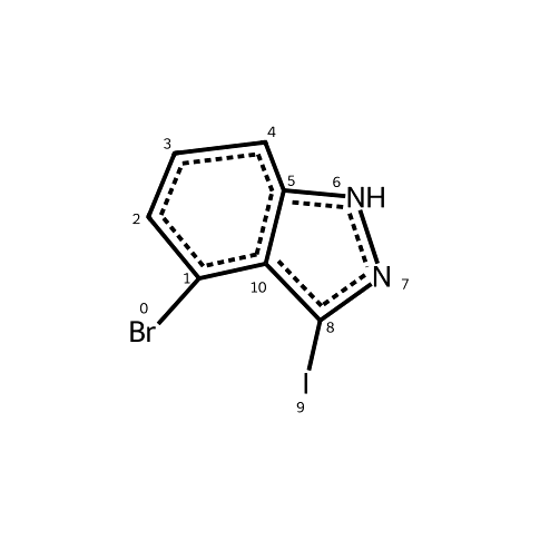 Brc1cccc2[nH]nc(I)c12